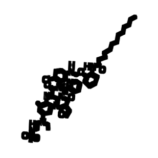 CCCCCCCCCCCCC(=O)Nc1ccccc1OCNc1ccc(Cl)c(NC(=O)/C(=N/c2ccc(N(CC)CCNS(C)(=O)=O)cc2C)c2nc3occc3c(=O)n2Nc2ccccn2)c1